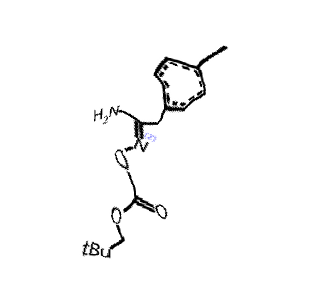 Cc1ccc(/C(N)=N/OC(=O)OCC(C)(C)C)cc1